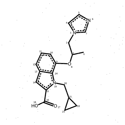 CC(Cn1ccnc1)Oc1cccc2cc(C(=O)O)n(CC3CC3)c12